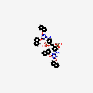 O=S(=O)(O)c1cc(Nc2nc(Oc3cccc4ccccc34)nc(Oc3cccc4ccccc34)n2)ccc1C=Cc1ccc(Nc2nc(Oc3cccc4ccccc34)nc(Oc3cccc4ccccc34)n2)cc1S(=O)(=O)O